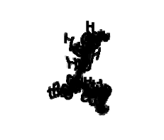 CC(NC(=O)OCc1ccccc1)C(=O)NCC(=O)NCC(=O)NCCCCC(NC(=O)CNC(=O)CNC(=O)C(C)NC(=O)OCc1ccccc1)C(=O)NCCC(=O)OC(C)(C)C